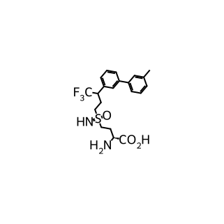 Cc1cccc(-c2cccc(C(CCS(=N)(=O)CC[C@H](N)C(=O)O)C(F)(F)F)c2)c1